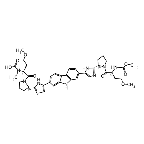 COCC[C@H](NC(=O)OC)C(=O)N1CCC[C@H]1c1ncc(-c2ccc3c(c2)[nH]c2cc(-c4cnc([C@@H]5CCCN5C(=O)[C@H](CCOC)N(C)C(=O)O)[nH]4)ccc23)[nH]1